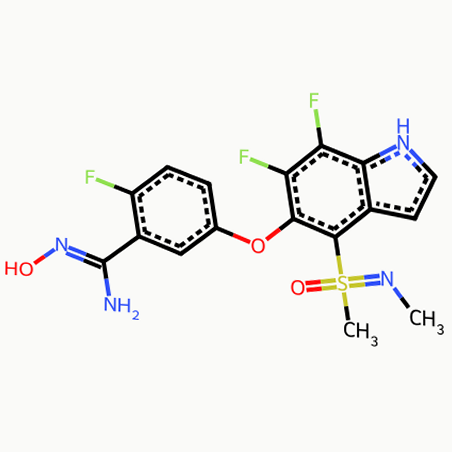 CN=S(C)(=O)c1c(Oc2ccc(F)c(/C(N)=N/O)c2)c(F)c(F)c2[nH]ccc12